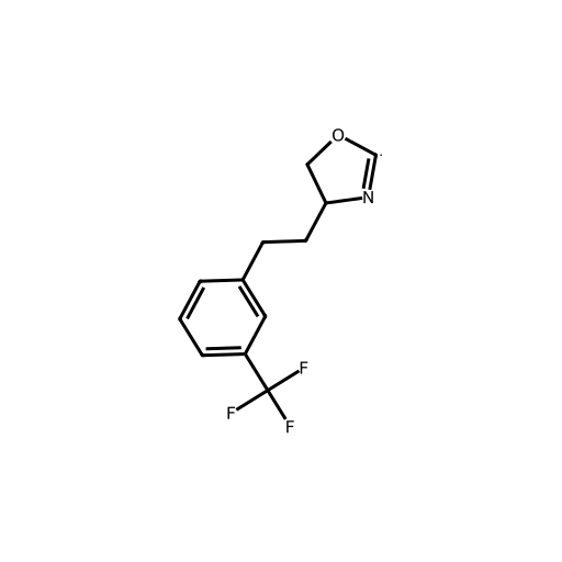 FC(F)(F)c1cccc(CCC2CO[C]=N2)c1